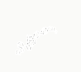 CCOc1ccccc1-c1ccc2cnc(Nc3ccc(N4CCN(C)CC4)cc3)nn12